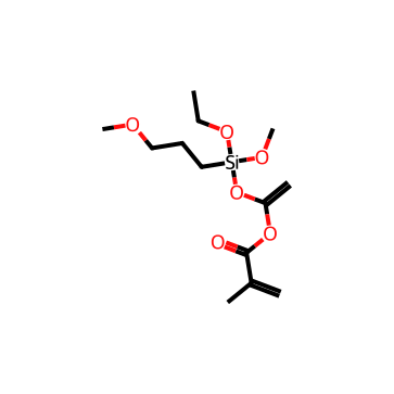 C=C(OC(=O)C(=C)C)O[Si](CCCOC)(OC)OCC